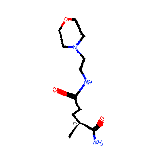 C[C@@H](C[CH]C(=O)NCCN1CCOCC1)C(N)=O